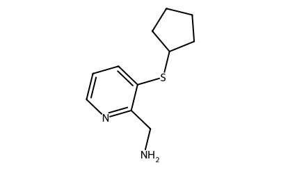 NCc1ncccc1SC1CCCC1